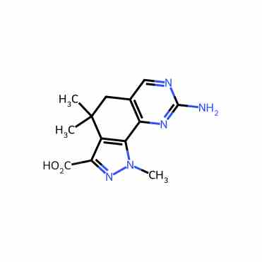 Cn1nc(C(=O)O)c2c1-c1nc(N)ncc1CC2(C)C